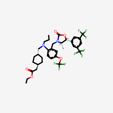 CCCN(C[C@H]1CC[C@H](CC(=O)OCC)CC1)c1ccc(OC(F)(F)F)cc1CN1C(=O)O[C@H](c2cc(C(F)(F)F)cc(C(F)(F)F)c2)[C@@H]1C